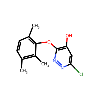 Cc1ccc(C)c(Oc2nnc(Cl)cc2O)c1C